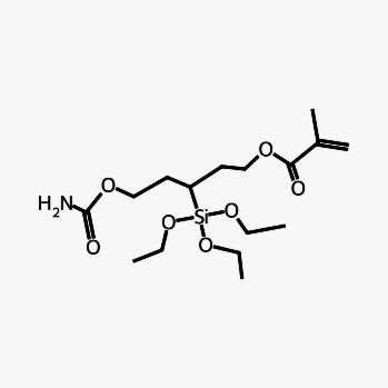 C=C(C)C(=O)OCCC(CCOC(N)=O)[Si](OCC)(OCC)OCC